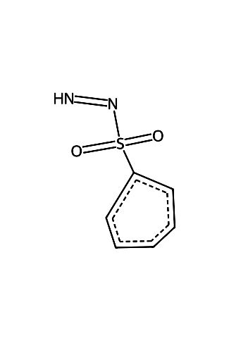 N=NS(=O)(=O)c1ccccc1